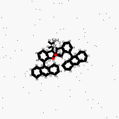 CC1=Cc2c(-c3c4ccccc4cc4ccccc34)cccc2[CH]1[Zr]([CH3])([CH3])(=[SiH2])[CH]1C(C)=Cc2c(-c3c4ccccc4cc4ccccc34)cccc21